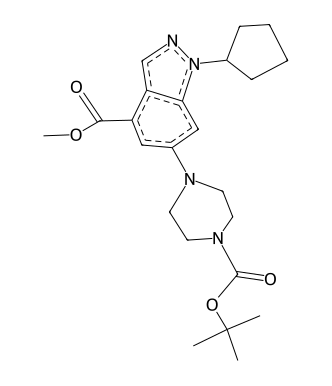 COC(=O)c1cc(N2CCN(C(=O)OC(C)(C)C)CC2)cc2c1cnn2C1CCCC1